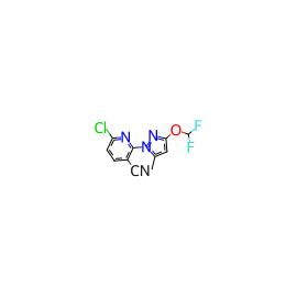 Cc1cc(OC(F)F)nn1-c1nc(Cl)ccc1C#N